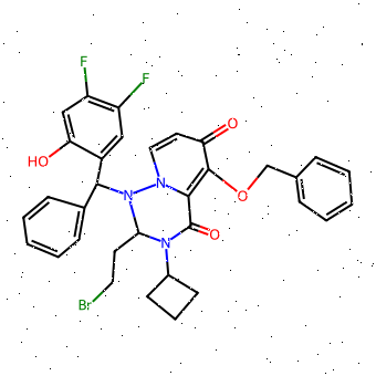 O=C1c2c(OCc3ccccc3)c(=O)ccn2N(C(c2ccccc2)c2cc(F)c(F)cc2O)C(CCBr)N1C1CCC1